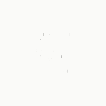 O=C(OC(O)CCO)c1ccoc1C(=O)OC(O)CCO